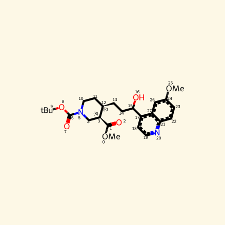 COC(=O)[C@H]1CN(C(=O)OC(C)(C)C)CC[C@H]1CCC(O)c1ccnc2ccc(OC)cc12